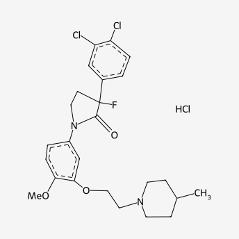 COc1ccc(N2CCC(F)(c3ccc(Cl)c(Cl)c3)C2=O)cc1OCCN1CCC(C)CC1.Cl